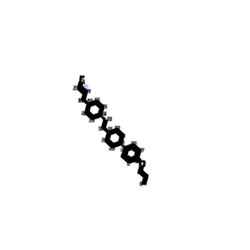 CCCOc1ccc([C@H]2CC[C@H](CC[C@H]3CC[C@H](C/C=C/F)CC3)CC2)cc1